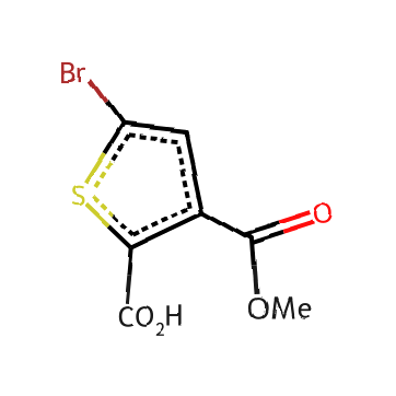 COC(=O)c1cc(Br)sc1C(=O)O